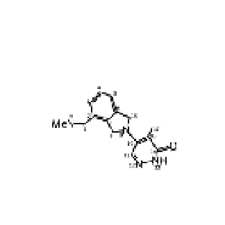 CNCc1cccc2c1CN(c1cn[nH]c(=O)c1C)C2